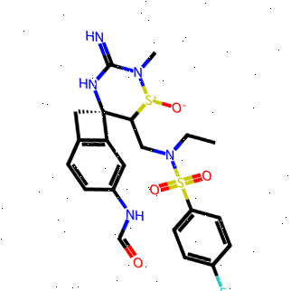 CCN(CC1[S+]([O-])N(C)C(=N)N[C@@]12Cc1ccc(NC=O)cc12)S(=O)(=O)c1ccc(F)cc1